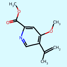 C=C(C)c1cnc(C(=O)OC)cc1OC